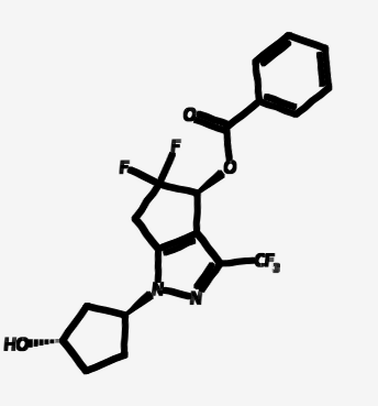 O=C(O[C@H]1c2c(C(F)(F)F)nn([C@H]3CC[C@H](O)C3)c2CC1(F)F)c1ccccc1